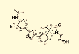 CC(C)Nc1ncc(-c2nc(-c3cccc4c3CC[C@]43CC(=O)N(CCO)C3)no2)cc1Br